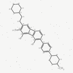 CC1CCC(c2ccc(-c3ccc4c(c3F)-c3c-4cc(CCC4CCCCC4)c(F)c3F)cc2)CC1